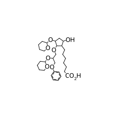 O=C(O)CCCCCCC1C(O)CC(OC2CCCCO2)C1OCC(COc1ccccc1)OC1CCCCO1